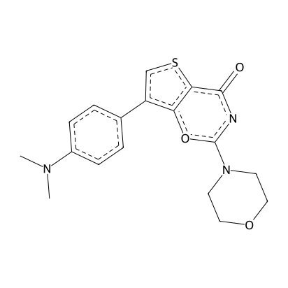 CN(C)c1ccc(-c2csc3c(=O)nc(N4CCOCC4)oc23)cc1